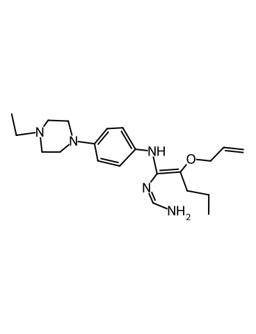 C=CCO/C(CCC)=C(/N=C\N)Nc1ccc(N2CCN(CC)CC2)cc1